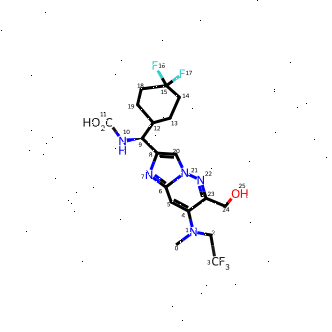 CN(CC(F)(F)F)c1cc2nc([C@@H](NC(=O)O)C3CCC(F)(F)CC3)cn2nc1CO